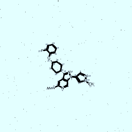 CNc1cc2c(cn1)n(-c1cnn(C)c1)nc2[C@H]1CC[C@@H](Oc2ccccc2F)CC1